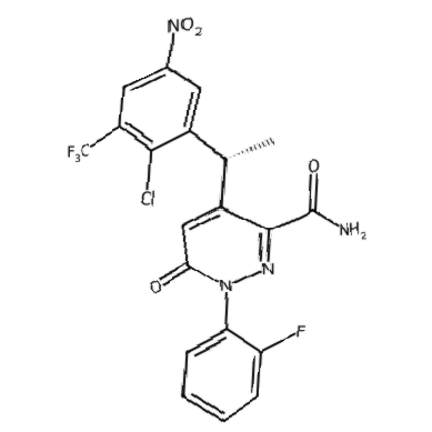 C[C@H](c1cc(=O)n(-c2ccccc2F)nc1C(N)=O)c1cc([N+](=O)[O-])cc(C(F)(F)F)c1Cl